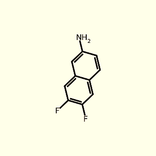 Nc1ccc2cc(F)c(F)cc2c1